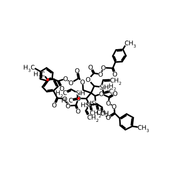 C=C[SiH](C=C)C(OC(=O)OOC(=O)c1ccc(C)cc1)C(C(OC(=O)OOC(=O)c1ccc(C)cc1)[SiH](C=C)C=C)(C(OC(=O)OOC(=O)c1ccc(C)cc1)[SiH](C=C)C=C)C(OC(=O)OOC(=O)c1ccc(C)cc1)[SiH](C=C)C=C